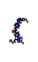 C=CC(=C)NC1CCN(C(=O)CCN2CCN(c3nnc(C)s3)CC2)CC1